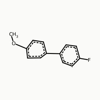 COc1ccc(-c2c[c]c(F)cc2)cc1